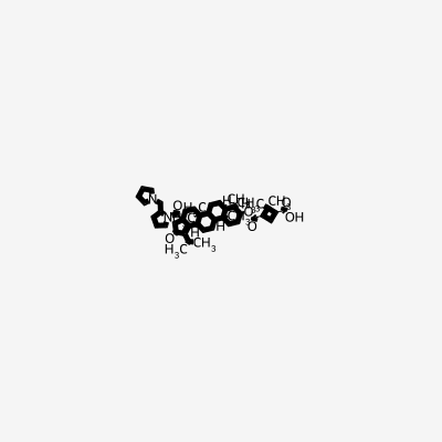 CC(C)C1=C2[C@H]3CC[C@@H]4[C@@]5(C)CC[C@H](OC(=O)[C@H]6C[C@@H](C(=O)O)C6(C)C)C(C)(C)[C@@H]5CC[C@@]4(C)[C@]3(C)CC[C@@]2(C(=O)N2CCCC2CN2CCCC2)CC1=O